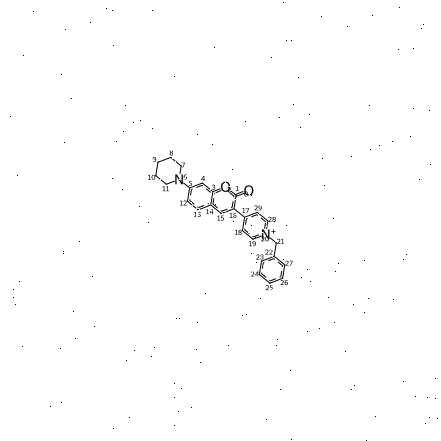 O=c1oc2cc(N3CCCCC3)ccc2cc1-c1cc[n+](Cc2ccccc2)cc1